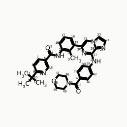 Cc1c(NC(=O)c2ccc(C(C)(C)C)nc2)cccc1-c1cn2ccnc2c(Nc2ccc(C(=O)N3CCOCC3)cc2)n1